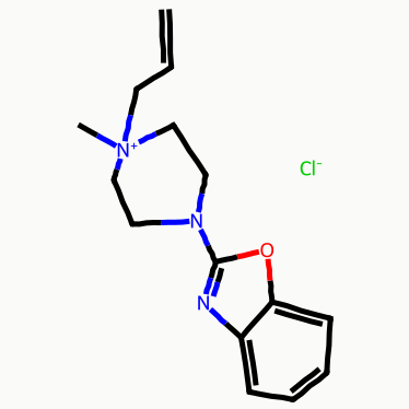 C=CC[N+]1(C)CCN(c2nc3ccccc3o2)CC1.[Cl-]